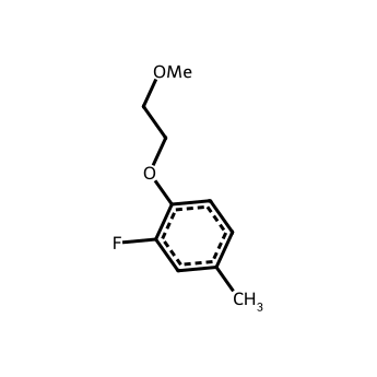 COCCOc1ccc(C)cc1F